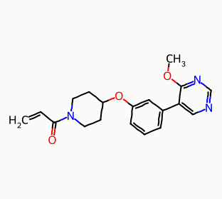 C=CC(=O)N1CCC(Oc2cccc(-c3cncnc3OC)c2)CC1